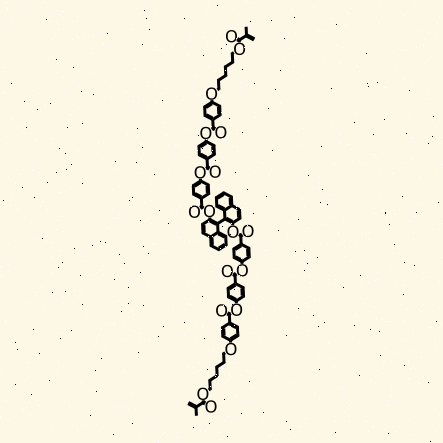 C=C(C)C(=O)OCCCCCCOc1ccc(C(=O)Oc2ccc(C(=O)Oc3ccc(C(=O)Oc4ccc5ccccc5c4-c4c(OC(=O)c5ccc(OC(=O)c6ccc(OC(=O)c7ccc(OCCCCCCOC(=O)C(=C)C)cc7)cc6)cc5)ccc5ccccc45)cc3)cc2)cc1